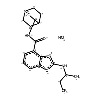 CC(CC(F)(F)F)Nc1nc2c(C(=O)NC3CN4CCC3CC4)cccc2o1.Cl